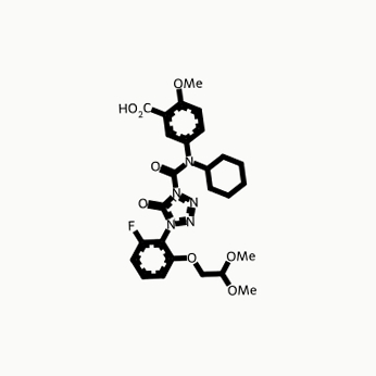 COc1ccc(N(C(=O)n2nnn(-c3c(F)cccc3OCC(OC)OC)c2=O)C2CCCCC2)cc1C(=O)O